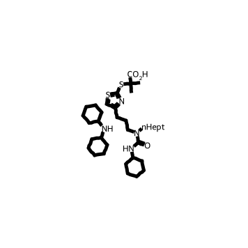 C1CCC(NC2CCCCC2)CC1.CCCCCCCN(CCCc1csc(SC(C)(C)C(=O)O)n1)C(=O)NC1CCCCC1